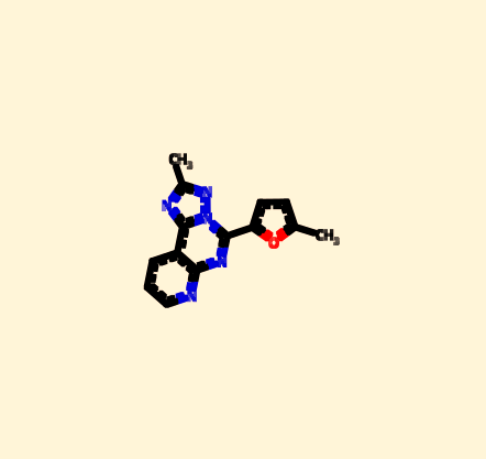 Cc1nc2c3cccnc3nc(-c3ccc(C)o3)n2n1